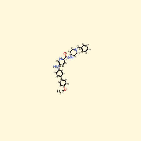 COc1ccc(-c2ccc(Nc3ccc(C(=O)NC4CCN(Cc5ccccc5)CC4)nc3)cc2)cc1